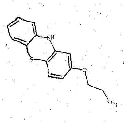 CCCOc1ccc2c(c1)Nc1ccccc1S2